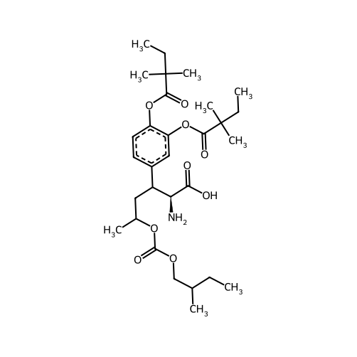 CCC(C)COC(=O)OC(C)CC(c1ccc(OC(=O)C(C)(C)CC)c(OC(=O)C(C)(C)CC)c1)[C@H](N)C(=O)O